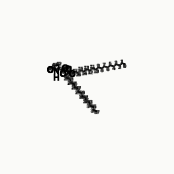 CCCCCCCCCCCCCCCCCCOC(=O)C(CCCCCCCCCCCCCCCC)OC(=O)[C@@H]1CCC(=O)N1